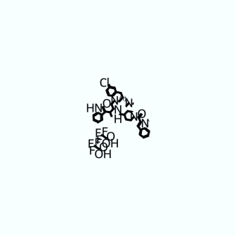 CC(c1c[nH]c2ccccc12)C(NCC1CCN(C(=O)c2cc3ccccc3n2C)CC1)C(=O)N1C[C@@H](CN(C)C)Cc2cc(Cl)ccc21.O=C(O)C(F)(F)F.O=C(O)C(F)(F)F